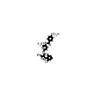 CC(C)C1ON=C(c2c(Cl)cccc2Cl)C1COc1ccc(NC(=O)c2ccc(C(=O)O)cc2)c(C(F)(F)F)n1